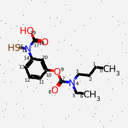 CCCCN(CC)C(=O)Oc1cccc(N(S)C(=O)O)c1